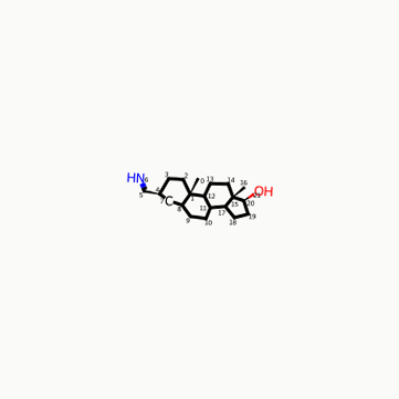 C[C@]12CC[C@H](C=N)CC1CCC1C2CC[C@@]2(C)C1CC[C@@H]2O